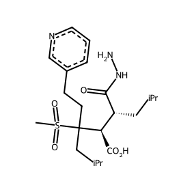 CC(C)C[C@@H](C(=O)NN)[C@@H](C(=O)O)C(CCc1cccnc1)(CC(C)C)S(C)(=O)=O